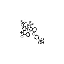 CN(C(=O)c1cccc(-n2nc(C(F)(F)F)c3c2C(Oc2ccc(C(=O)O)cc2)CCC3)c1)c1cncc(OC(F)(F)F)c1